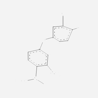 CN(C(=O)O)c1ccc(Oc2ccc(F)c(Cl)c2)cc1[N+](=O)[O-]